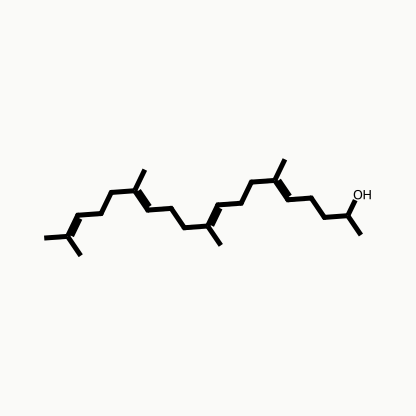 CC(C)=CCCC(C)=CCCC(C)=CCCC(C)=CCCC(C)O